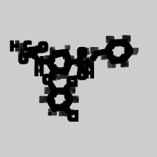 CS(=O)(=O)Nc1ccc(S(=O)(=O)NCc2ccccc2)cc1Oc1ccc(Cl)cc1Cl